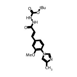 COc1cc(C=CC(=O)NNC(=O)OC(C)(C)C)ccc1-n1cnc(C)c1